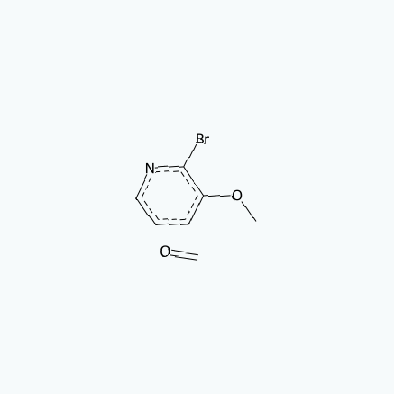 C=O.COc1cccnc1Br